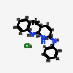 [Cl-].[Fe+][CH]1C=CC(=Nc2ccccc2)NC1=Nc1ccccc1